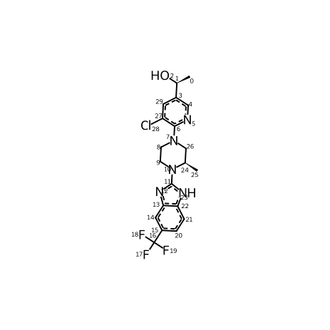 C[C@H](O)c1cnc(N2CCN(c3nc4cc(C(F)(F)F)ccc4[nH]3)[C@H](C)C2)c(Cl)c1